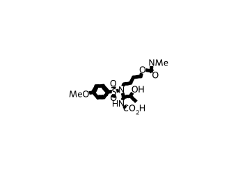 CNC(=O)OCCCCN(C(NC(=O)O)C(C)O)S(=O)(=O)c1ccc(OC)cc1